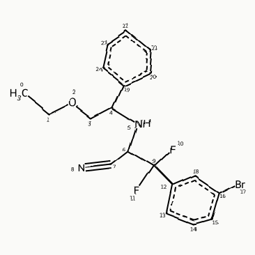 CCOCC(NC(C#N)C(F)(F)c1cccc(Br)c1)c1ccccc1